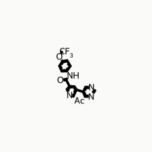 CC(=O)c1ncc(C(=O)Nc2ccc(OC(F)(F)F)cc2)cc1-c1cncnc1